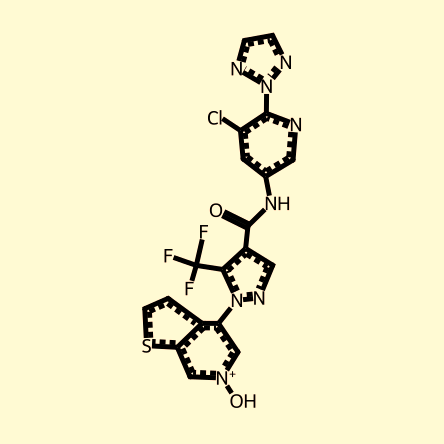 O=C(Nc1cnc(-n2nccn2)c(Cl)c1)c1cnn(-c2c[n+](O)cc3sccc23)c1C(F)(F)F